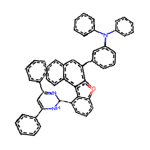 C1=C(c2ccccc2)NC(c2cccc3oc4c(-c5cccc(N(c6ccccc6)c6ccccc6)c5)cc5ccccc5c4c23)N=C1c1ccccc1